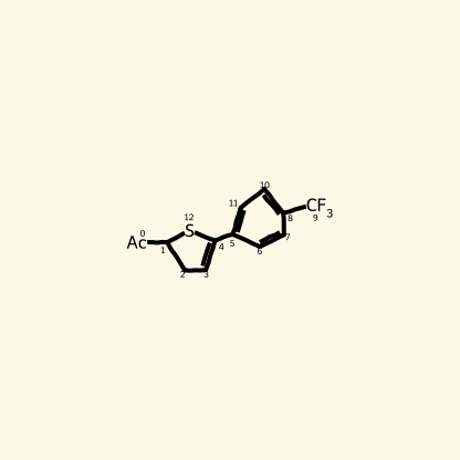 CC(=O)C1CC=C(c2ccc(C(F)(F)F)cc2)S1